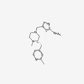 CC(=O)Nc1ncc(CN2CCN(C)[C@@H](Cc3ccnc(C)c3)C2)s1